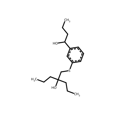 CCCC(O)c1cccc(SCC(O)(CCC)CCC)c1